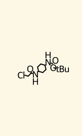 CC(C)(C)OC(=O)NC1CCC(NC(=O)CCl)CC1